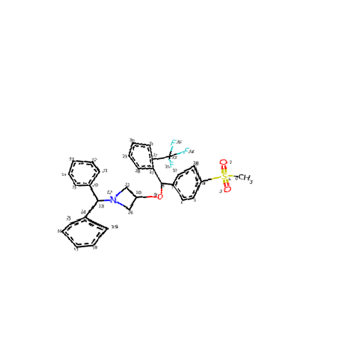 CS(=O)(=O)c1ccc(C(OC2CN(C(c3ccccc3)c3ccccc3)C2)c2ccccc2C(F)(F)F)cc1